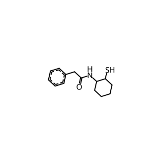 O=C(Cc1ccccc1)NC1CCCCC1S